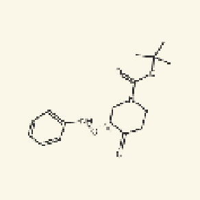 CC(C)(C)OC(=O)N1CCC(=O)[C@H](ONc2ccccc2)C1